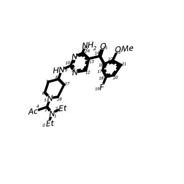 CCN(CC)C(C(C)=O)N1CCC(Nc2ncc(C(=O)c3cc(F)ccc3OC)c(N)n2)CC1